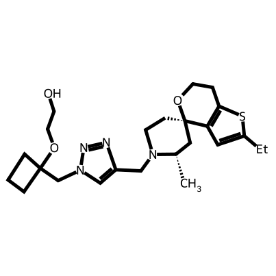 CCc1cc2c(s1)CCO[C@@]21CCN(Cc2cn(CC3(OCCO)CCC3)nn2)[C@@H](C)C1